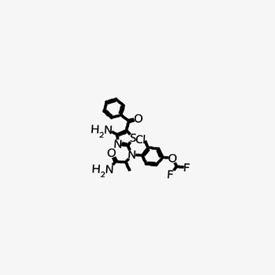 CC(C(N)=O)N(c1nc(N)c(C(=O)c2ccccc2)s1)c1ccc(OC(F)F)cc1Cl